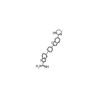 N=C(N)c1cn2cc(-c3ccc(-c4cc5ccc(C6=NCCCN6)cc5o4)cc3)ccc2n1